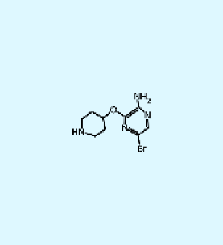 Nc1ncc(Br)nc1OC1CCNCC1